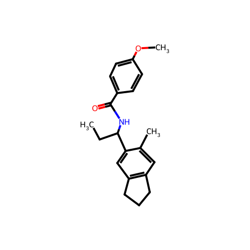 CCC(NC(=O)c1ccc(OC)cc1)c1cc2c(cc1C)CCC2